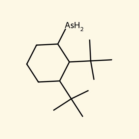 CC(C)(C)C1CCCC([AsH2])C1C(C)(C)C